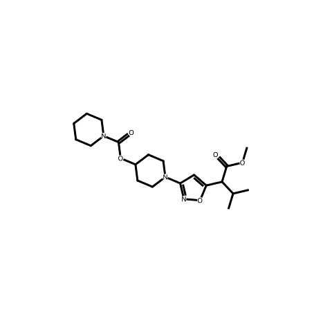 COC(=O)C(c1cc(N2CCC(OC(=O)N3CCCCC3)CC2)no1)C(C)C